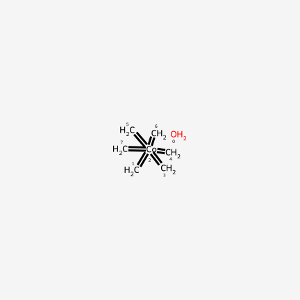 O.[CH2]=[Co](=[CH2])(=[CH2])(=[CH2])(=[CH2])=[CH2]